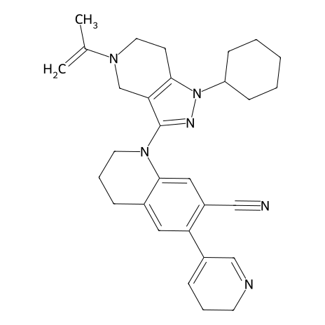 C=C(C)N1CCc2c(c(N3CCCc4cc(C5=CCCN=C5)c(C#N)cc43)nn2C2CCCCC2)C1